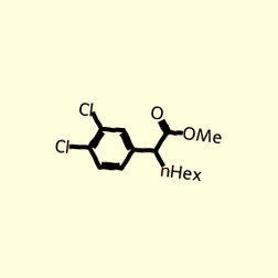 CCCCCCC(C(=O)OC)c1ccc(Cl)c(Cl)c1